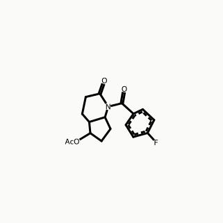 CC(=O)OC1CCC2C1CCC(=O)N2C(=O)c1ccc(F)cc1